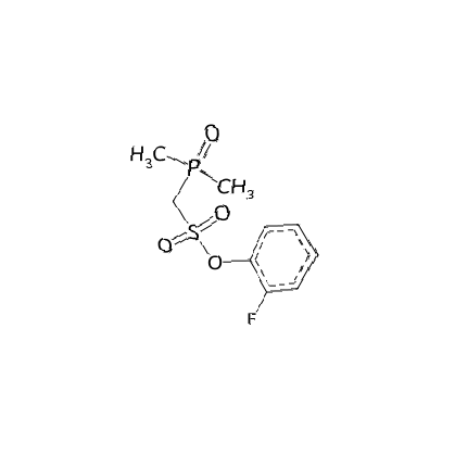 CP(C)(=O)CS(=O)(=O)Oc1ccccc1F